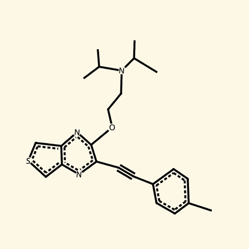 Cc1ccc(C#Cc2nc3cscc3nc2OCCN(C(C)C)C(C)C)cc1